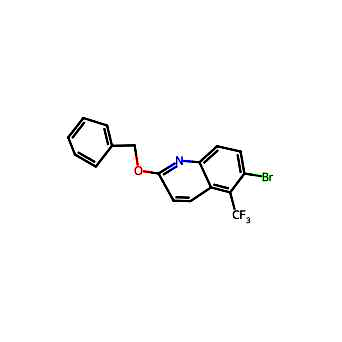 FC(F)(F)c1c(Br)ccc2nc(OCc3ccccc3)ccc12